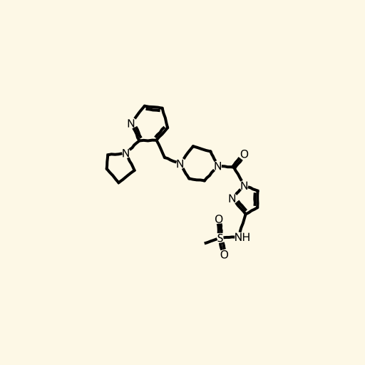 CS(=O)(=O)Nc1ccn(C(=O)N2CCN(Cc3cccnc3N3CCCC3)CC2)n1